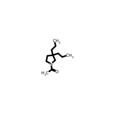 CCCC1(CCC)CCN(C(C)=O)C1